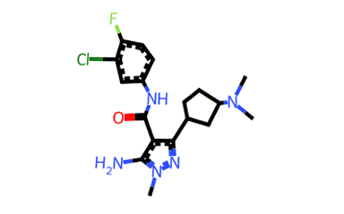 CN(C)C1CCC(c2nn(C)c(N)c2C(=O)Nc2ccc(F)c(Cl)c2)C1